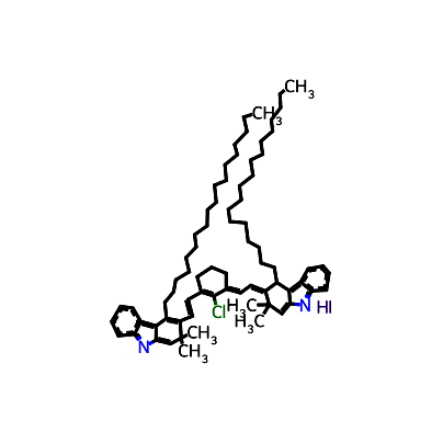 CCCCCCCCCCCCCCCCCCC1=C(C=CC2=C(Cl)C(=CC=C3C(CCCCCCCCCCCCCCCCCC)C4=c5ccccc5=NC4=CC3(C)C)CCC2)C(C)(C)C=C2N=c3ccccc3=C21.I